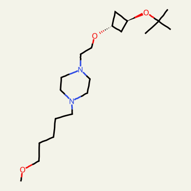 COCCCCCN1CCN(CCO[C@H]2C[C@H](OC(C)(C)C)C2)CC1